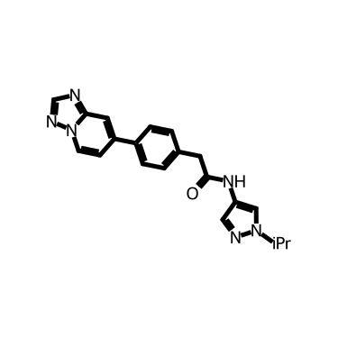 CC(C)n1cc(NC(=O)Cc2ccc(-c3ccn4ncnc4c3)cc2)cn1